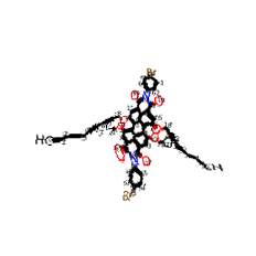 C#CC#CC#CC#CCOc1cc2c3c(cc(OCC#CC#CC#CC#C)c4c5c(OCC)cc6c7c(cc(OCC)c(c1c34)c75)C(=O)N(c1ccc(Br)cc1)C6=O)C(=O)N(c1ccc(Br)cc1)C2=O